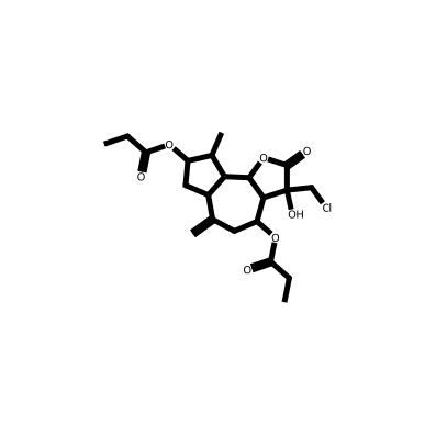 C=C1CC(OC(=O)CC)C2C(OC(=O)C2(O)CCl)C2C1CC(OC(=O)CC)C2C